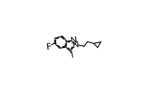 Fc1ccc2nn(CCC3CC3)c(I)c2c1